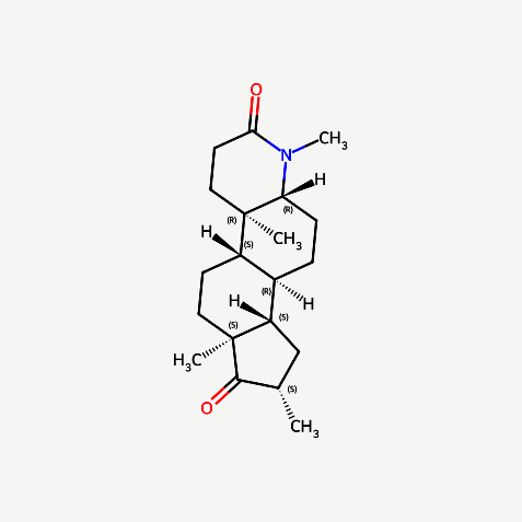 C[C@H]1C[C@H]2[C@@H]3CC[C@H]4N(C)C(=O)CC[C@]4(C)[C@H]3CC[C@]2(C)C1=O